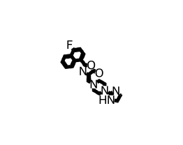 O=C1OC(c2ccc(F)c3ccccc23)=N/C1=C/N1CCN(C2=NCCN2)CC1